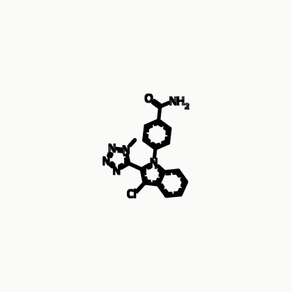 Cn1nnnc1-c1c(Cl)c2ccccc2n1-c1ccc(C(N)=O)cc1